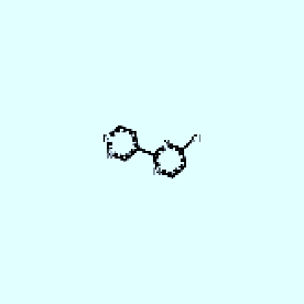 Clc1ccnc(-c2ccnnc2)n1